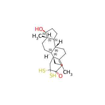 CCC[C@]12CC(S)(S)C(=O)C=C1CC[C@@H]1[C@@H]2CC[C@]2(C)[C@@H](O)CC[C@@H]12